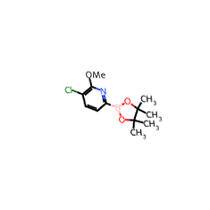 COc1nc(B2OC(C)(C)C(C)(C)O2)ccc1Cl